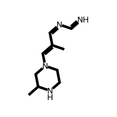 CC(/C=N\C=N)=C\N1CCNC(C)C1